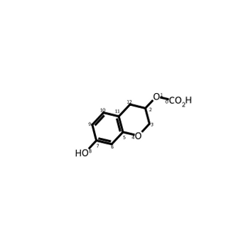 O=C(O)OC1COc2cc(O)ccc2C1